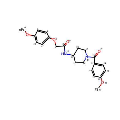 CCCOc1ccc(OCC(=O)NC2CCN(C(=O)c3ccc(OCC)cc3)CC2)cc1